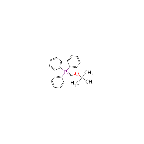 CC(C)(C)OC=P(c1ccccc1)(c1ccccc1)c1ccccc1